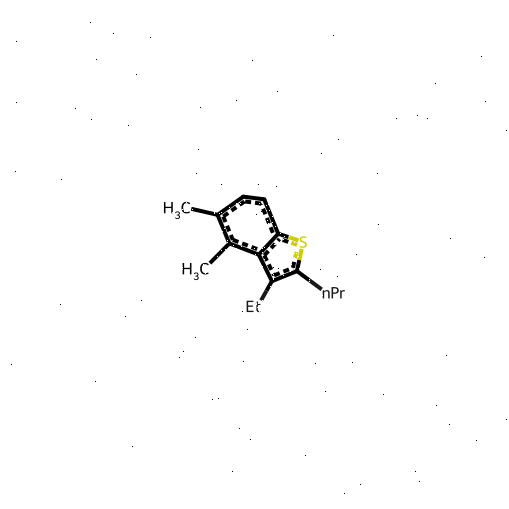 CCCc1sc2ccc(C)c(C)c2c1CC